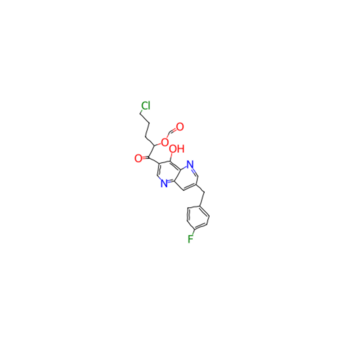 O=COC(CCCCl)C(=O)c1cnc2cc(Cc3ccc(F)cc3)cnc2c1O